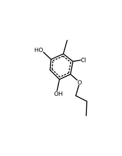 CCCOc1c(O)cc(O)c(C)c1Cl